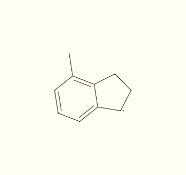 Cc1cccc2c1CC[CH]2